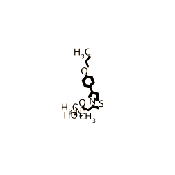 CCCCOc1ccc(-c2cc3scc(CC(=O)[N+](C)(C)O)n3c2)cc1